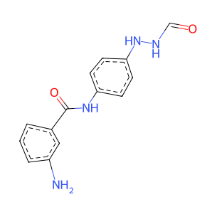 Nc1cccc(C(=O)Nc2ccc(NNC=O)cc2)c1